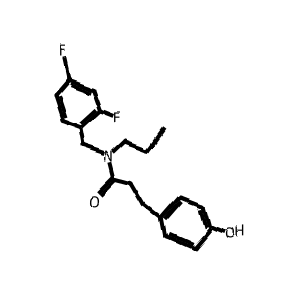 CCCN(Cc1ccc(F)cc1F)C(=O)CCc1ccc(O)cc1